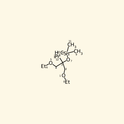 CCOCC(COCC)(O[Si](C)(C)C)C(C)C